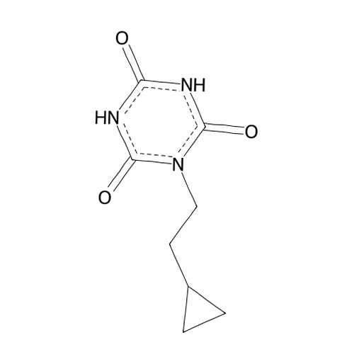 O=c1[nH]c(=O)n(CCC2CC2)c(=O)[nH]1